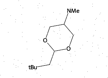 CNC1COC(CC(C)(C)C)OC1